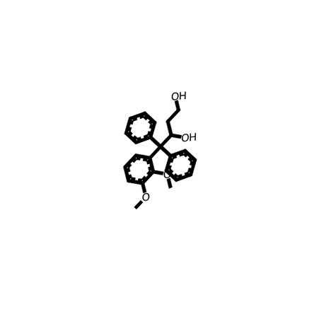 COc1cccc(C(c2ccccc2)(c2ccccc2)C(O)CCO)c1OC